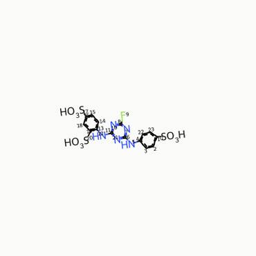 O=S(=O)(O)c1ccc(Nc2nc(F)nc(Nc3ccc(S(=O)(=O)O)cc3S(=O)(=O)O)n2)cc1